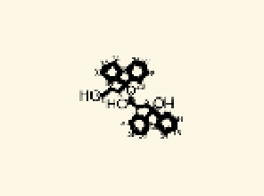 OCCCC(OC(O)CCC(O)(c1ccccc1)c1ccccc1)(c1ccccc1)c1ccccc1